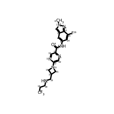 Cn1cc2cc(NC(=O)c3cnc(N4CC(CNCCC(F)(F)F)C4)cn3)cc(F)c2n1